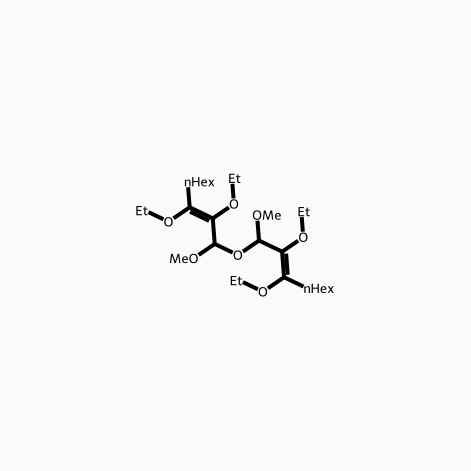 CCCCCCC(OCC)=C(OCC)C(OC)OC(OC)C(OCC)=C(CCCCCC)OCC